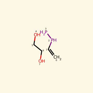 C=CPP.OCCO